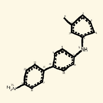 Cc1cccc(Nc2ccc(-c3ccc(N)cc3)cc2)c1